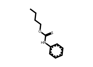 CCCCOC(=S)Nc1ccccc1